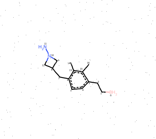 BCCc1ccc(CC2CN(N)C2)c(C)c1C